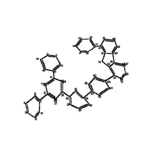 c1ccc(-c2nc(-c3ccccc3)nc(-c3cccc(-c4ccc(-c5ncnc6c5Cc5c(-c7ccccc7)cccc5-6)cc4)c3)n2)cc1